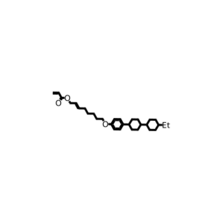 C=CC(=O)OC/C=C/CCCCCOc1ccc(C2CCC(C3CCC(CC)CC3)CC2)cc1